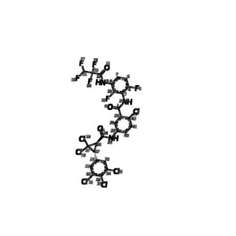 O=C(Nc1c(F)ccc(NC(=O)C(F)(F)C(F)F)c1F)c1cc(NC(=O)[C@H]2[C@H](c3cc(Cl)c(Cl)c(Cl)c3)C2(Cl)Cl)ccc1Cl